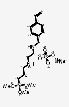 C=Cc1ccc(CNCCNCCC[Si](OC)(OC)OC)cc1.O=S(=O)([O-])[O-].[Na+].[Na+]